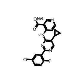 COC(=O)c1cnccc1Nc1nc(-c2cc(Cl)ccc2F)ncc1C1CC1